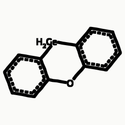 c1cc[c]2c(c1)Oc1cccc[c]1[GeH2]2